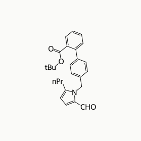 CCCc1ccc(C=O)n1Cc1ccc(-c2ccccc2C(=O)OC(C)(C)C)cc1